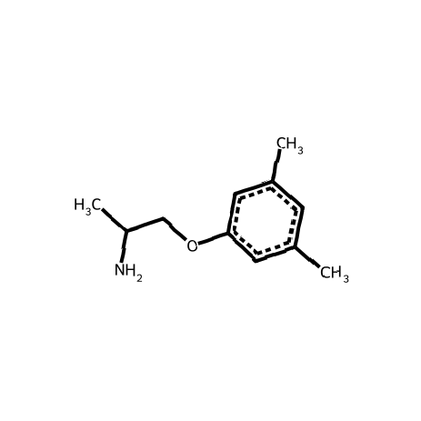 Cc1cc(C)cc(OCC(C)N)c1